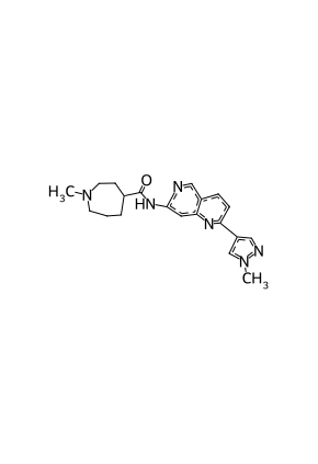 CN1CCCC(C(=O)Nc2cc3nc(-c4cnn(C)c4)ccc3cn2)CC1